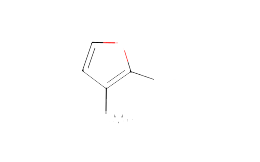 CCCc1occc1OC